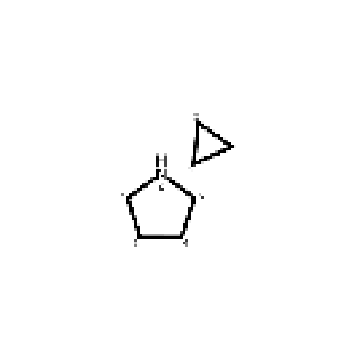 C1CC1.C1CCNC1